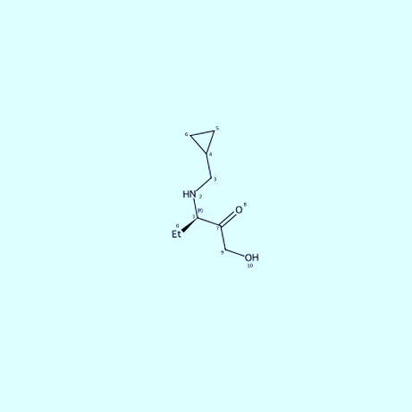 CC[C@@H](NCC1CC1)C(=O)CO